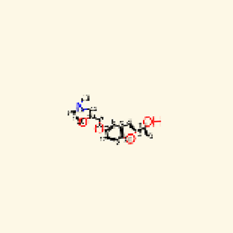 C=C(O)c1cc2cc(OCC3CN(C)CCO3)ccc2o1